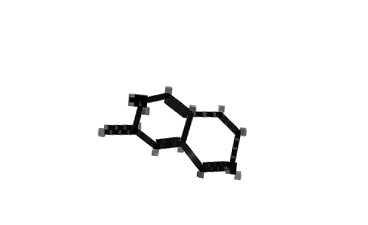 C=C1C=C2C=NCCC2=CN1